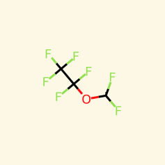 F[C](F)OC(F)(F)C(F)(F)F